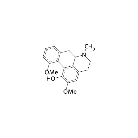 COc1cc2c3c(c1O)-c1c(cccc1OC)CC3N(C)CC2